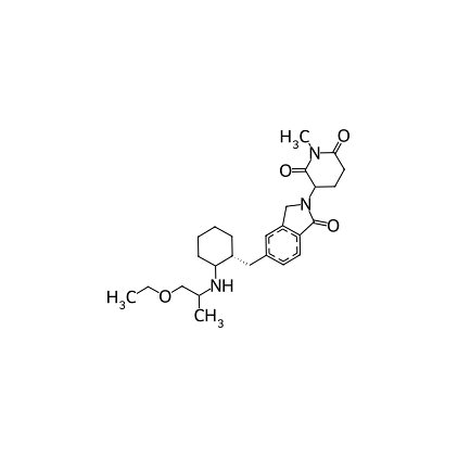 CCOCC(C)NC1CCCC[C@@H]1Cc1ccc2c(c1)CN(C1CCC(=O)N(C)C1=O)C2=O